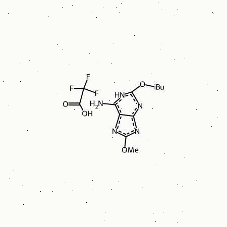 CCC(C)Oc1nc2nc(OC)nc-2c(N)[nH]1.O=C(O)C(F)(F)F